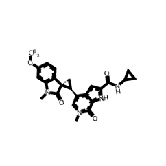 CN1C(=O)[C@@]2(C[C@H]2c2cn(C)c(=O)c3[nH]c(C(=O)NC4CC4)cc23)c2ccc(OC(F)(F)F)cc21